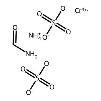 NC=O.O=S(=O)([O-])[O-].O=S(=O)([O-])[O-].[Cr+3].[NH4+]